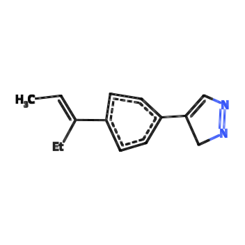 C/C=C(\CC)c1ccc(C2=CN=NC2)cc1